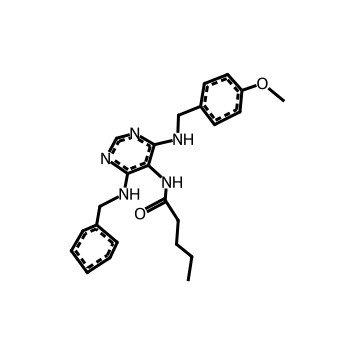 CCCCC(=O)Nc1c(NCc2ccccc2)ncnc1NCc1ccc(OC)cc1